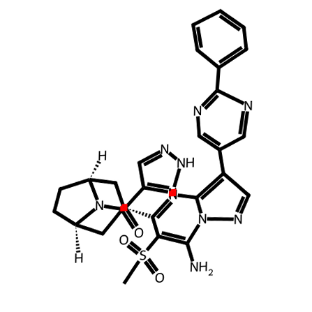 CS(=O)(=O)c1c([C@@H]2C[C@H]3CC[C@@H](C2)N3C(=O)c2cn[nH]n2)nc2c(-c3cnc(-c4ccccc4)nc3)cnn2c1N